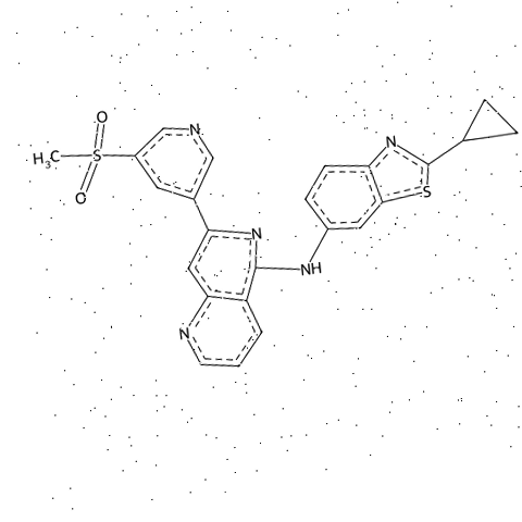 CS(=O)(=O)c1cncc(-c2cc3ncccc3c(Nc3ccc4nc(C5CC5)sc4c3)n2)c1